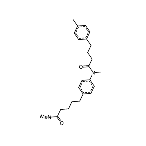 CNC(=O)CCCCc1ccc(N(C)C(=O)CCCc2ccc(C)cc2)cc1